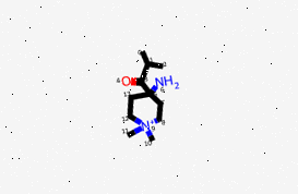 CC(C)C(=O)C1(N)CC[N+](C)(C)CC1